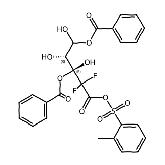 Cc1ccccc1S(=O)(=O)OC(=O)C(F)(F)[C@](O)(OC(=O)c1ccccc1)[C@H](O)C(O)OC(=O)c1ccccc1